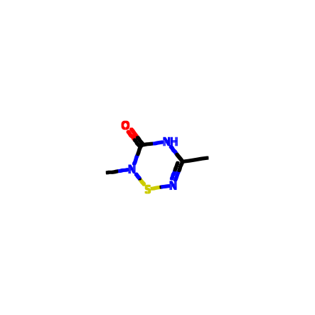 CC1=NSN(C)C(=O)N1